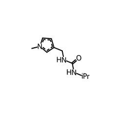 CC(C)NC(=O)NCc1ccn(C)c1